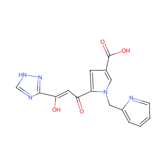 O=C(O)c1cc(C(=O)C=C(O)c2nc[nH]n2)n(Cc2ccccn2)c1